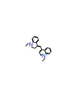 CCN1CCC(=Cc2cc[n+](CC)c3ccccc23)c2ccccc21